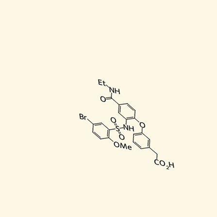 CCNC(=O)c1ccc(Oc2cccc(CC(=O)O)c2)c(NS(=O)(=O)c2cc(Br)ccc2OC)c1